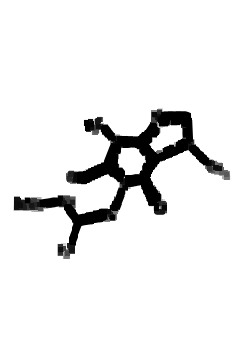 CC(=O)NNC(N)=Nn1c(=O)c2c(ncn2C)n(C)c1=O